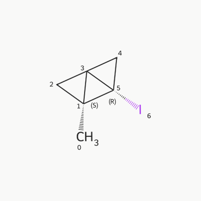 C[C@]12CC13C[C@]32I